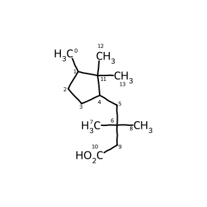 CC1CCC(CC(C)(C)CC(=O)O)C1(C)C